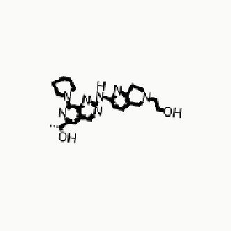 C[C@@H](O)c1cc2cnc(Nc3ccc4c(n3)CCN(CCO)C4)nc2c(N2CCCCC2)n1